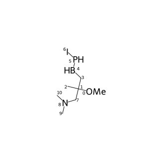 COC(C)(CBPI)CN(C)C